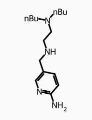 CCCCN(CCCC)CCNCc1ccc(N)nc1